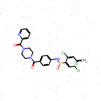 C=C(Cl)/C=C(Cl)\C(=C/CCl)[S+]([O-])Nc1ccc(C(=O)N2CCN(C(=O)c3ccccn3)CC2)cc1